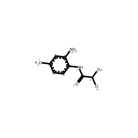 O=C(Nc1ccc(C(F)(F)F)cc1[N+](=O)[O-])C(Cl)Cl